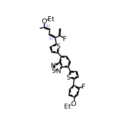 C=C(F)/C(=C\C=C(/C)OCC)c1ccc(-c2ccc(-c3ccc(-c4ccc(OCC)cc4F)s3)c3nsnc23)s1